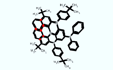 CC(C)(C)c1ccc(N2c3cc(C(C)(C)C)cc(-c4ccccc4)c3B3c4c(-c5ccccc5)cc(C(C)(C)C)cc4N(c4ccc(C(C)(C)C)cc4)c4cc(N(c5ccccc5)c5ccccc5)cc2c43)cc1